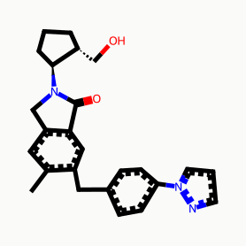 Cc1cc2c(cc1Cc1ccc(-n3cccn3)cc1)C(=O)N([C@H]1CCC[C@@H]1CO)C2